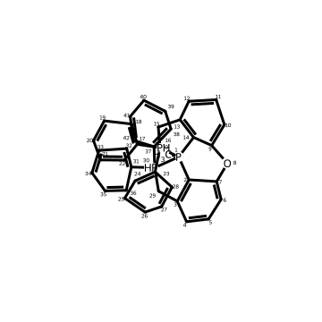 CP123c4c(cccc4Oc4cccc(c41)C[PH]2(c1ccccc1)c1ccccc1)C[PH]3(c1ccccc1)c1ccccc1